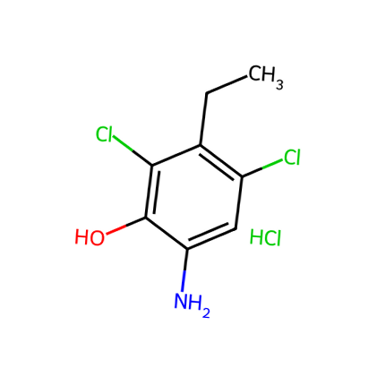 CCc1c(Cl)cc(N)c(O)c1Cl.Cl